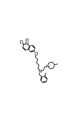 Cc1ccccc1CN(CCCCCOc1ccc2[nH]c(=O)ccc2c1)CCN1CCC(C)CC1